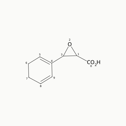 O=C(O)C1OC1C1=CCCC=C1